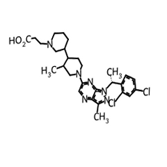 Cc1nn([C@H](C)c2ccc(Cl)cc2Cl)c2nc(N3CCC(C4CCCN(CCC(=O)O)C4)C(C)C3)cnc12